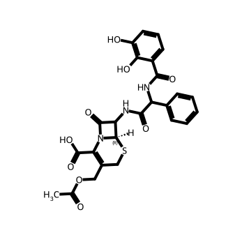 CC(=O)OCC1=C(C(=O)O)N2C(=O)C(NC(=O)C(NC(=O)c3cccc(O)c3O)c3ccccc3)[C@H]2SC1